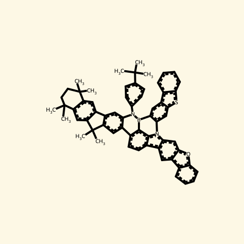 CC(C)(C)c1ccc(N2B3c4cc5c(cc4-n4c6cc7oc8ccccc8c7cc6c6ccc(c3c64)-c3cc4c(cc32)-c2cc3c(cc2C4(C)C)C(C)(C)CCC3(C)C)sc2ccccc25)cc1